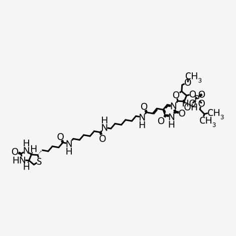 COCC1OC(n2cc(/C=C/C(=O)NCCCCCCNC(=O)CCCCCNC(=O)CCCC[C@@H]3SC[C@@H]4NC(=O)N[C@@H]43)c(=O)[nH]c2=O)C(O)C1OP(=O)(O)OCC(C)C